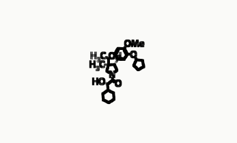 COc1ccc([C@@H]2CN(C(=O)[C@@H](O)C3CCCCC3)C[C@@]2(C)[C@@H](C)O)cc1OC1CCCC1